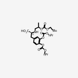 CCCOC(=O)Oc1ccc(C[C@H](NCC(C)OC(=O)OCC(C)CC)C(=O)O)cc1OC(=O)OCCC